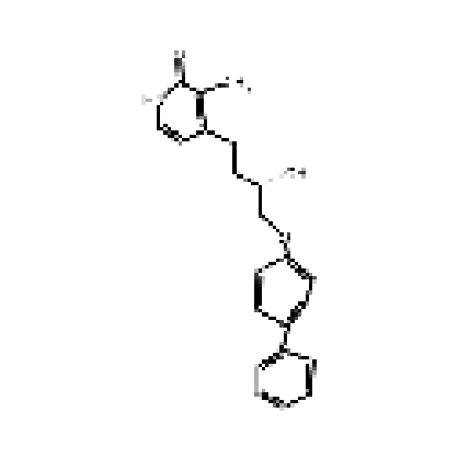 Cc1c(CC[C@H](O)COc2ccc(-c3ccccc3)cc2)cc[nH]c1=O